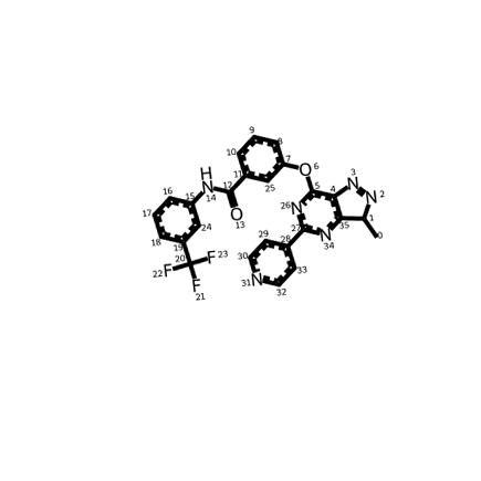 CC1N=Nc2c(Oc3cccc(C(=O)Nc4cccc(C(F)(F)F)c4)c3)nc(-c3ccncc3)nc21